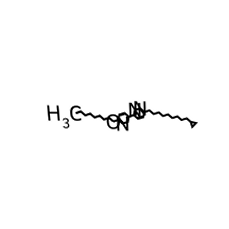 CCCCCCCCOc1ccc(-c2ccc(CCCCCCCCCC3CC3)nn2)cn1